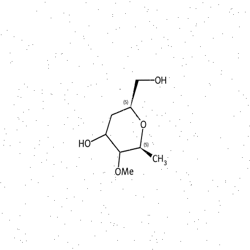 COC1C(O)C[C@@H](CO)O[C@H]1C